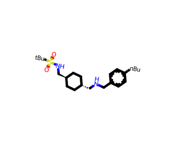 CCCCc1ccc(CNC[C@H]2CC[C@H](CNS(=O)(=O)C(C)(C)C)CC2)cc1